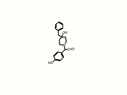 O=[C]C(c1ccc(O)cc1)N1CCC(O)(Cc2ccccc2)CC1